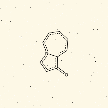 O=c1ccn2cccccc1-2